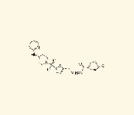 O=C(N=[N+]=NCc1ccc(S(=O)(=O)N2CCC(Nc3ncccn3)CC2)s1)c1ccc(Cl)cc1